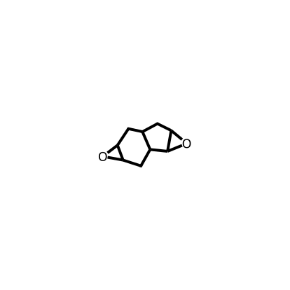 C1C2CC3OC3C2CC2OC12